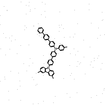 Cc1ccc(N(c2ccc(-c3ccc(-c4ccccc4)cc3)cc2)c2ccc(-c3ccc(-n4c5ccc(C)cc5c5cc(C)ccc54)cc3)cc2)cc1